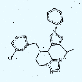 CC(C)c1nn(-c2ccccc2)cc1C1c2nnnn2CCN1Cc1cccc(Cl)c1